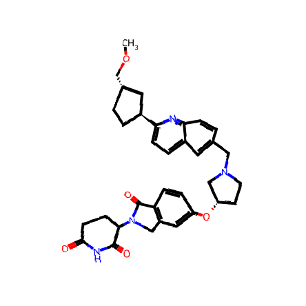 COC[C@H]1CC[C@H](c2ccc3cc(CN4CC[C@H](Oc5ccc6c(c5)CN(C5CCC(=O)NC5=O)C6=O)C4)ccc3n2)C1